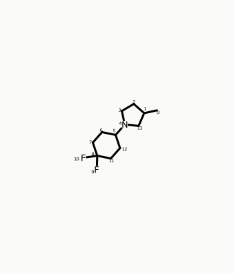 CC1CCN(C2CCC(F)(F)CC2)C1